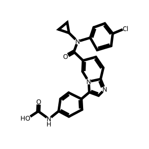 O=C(O)Nc1ccc(-c2cnc3ccc(C(=O)N(c4ccc(Cl)cc4)C4CC4)cn23)cc1